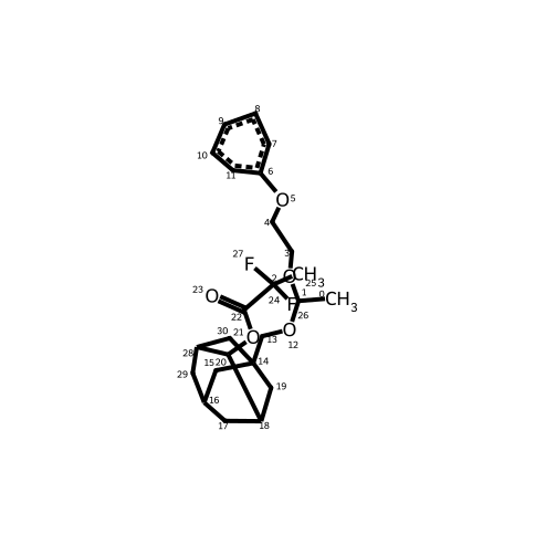 CC(OCCOc1ccccc1)OCC12CC3CC(C1)C(OC(=O)C(C)(F)F)C(C3)C2